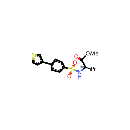 COC(=O)[C@H](NS(=O)(=O)c1ccc(-c2ccsc2)cc1)C(C)C